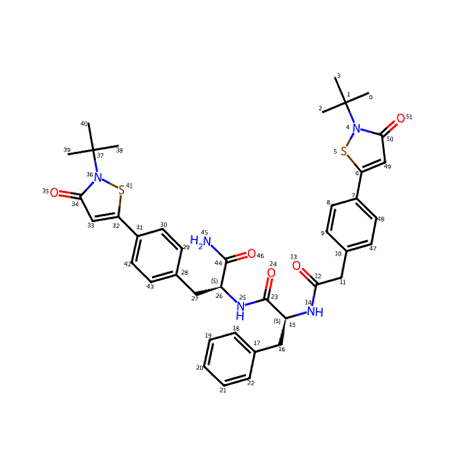 CC(C)(C)n1sc(-c2ccc(CC(=O)N[C@@H](Cc3ccccc3)C(=O)N[C@@H](Cc3ccc(-c4cc(=O)n(C(C)(C)C)s4)cc3)C(N)=O)cc2)cc1=O